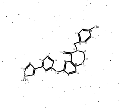 Cn1cc(-c2cc(Oc3ccc4c(c3)C(=O)N(Cc3ccc(Cl)cc3)CCO4)ccn2)cn1